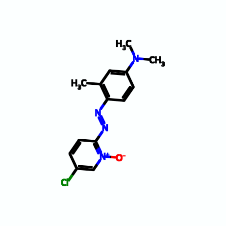 Cc1cc(N(C)C)ccc1N=Nc1ccc(Cl)c[n+]1[O-]